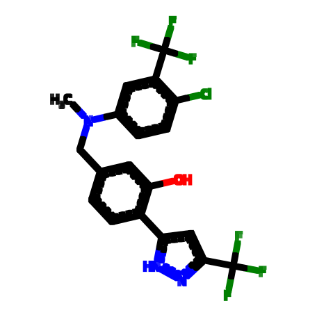 CN(Cc1ccc(-c2cc(C(F)(F)F)n[nH]2)c(O)c1)c1ccc(Cl)c(C(F)(F)F)c1